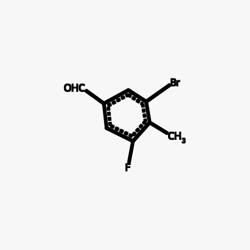 Cc1c(F)cc(C=O)cc1Br